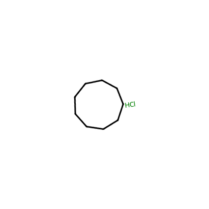 C1CCCCCCCC1.Cl